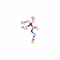 CCOC(C)(OCC)[SiH2]CN=C=O